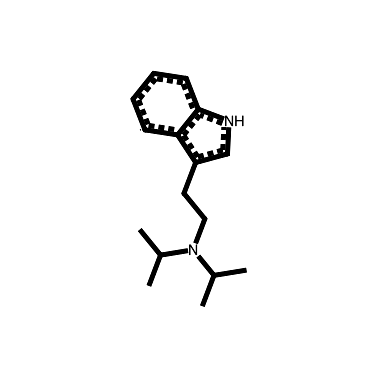 CC(C)N(CCc1c[nH]c2ccc[c]c12)C(C)C